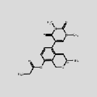 CCC(=O)Oc1ccc(-c2cn(C)c(=O)n(C)c2=O)c2c1CO[C@H](N)C2